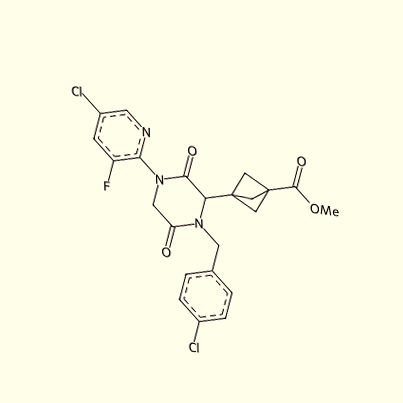 COC(=O)C12CC(C3C(=O)N(c4ncc(Cl)cc4F)CC(=O)N3Cc3ccc(Cl)cc3)(C1)C2